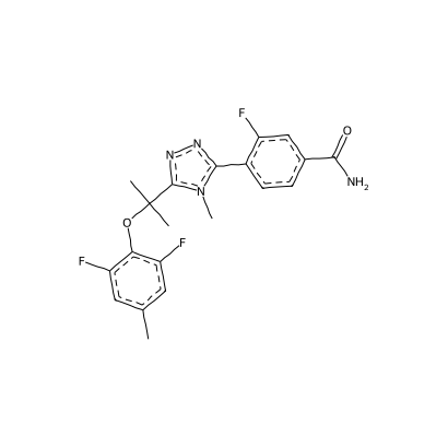 Cc1cc(F)c(OC(C)(C)c2nnc(-c3ccc(C(N)=O)cc3F)n2C)c(F)c1